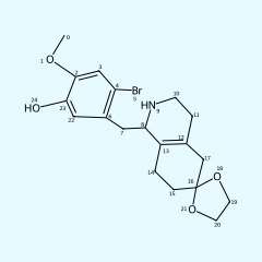 COc1cc(Br)c(CC2NCCC3=C2CCC2(C3)OCCO2)cc1O